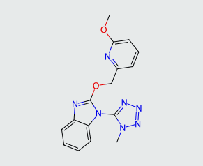 COc1cccc(COc2nc3ccccc3n2-c2nnnn2C)n1